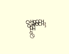 CC(C)(C)OC(=O)N[C@@H](Cc1ccccc1)C(=O)OCC12CC3CCCC(C1)C(C3)C2